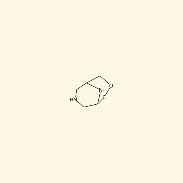 CN1C2CNCC1COC2